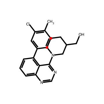 Cc1ccc(-c2cccc3ncnc(N4CCCC(CO)C4)c23)cc1Cl